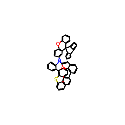 c1ccc(-c2cccc3cc(N(c4ccc5c(c4)C4(c6ccccc6O5)c5ccccc5-c5ccccc54)c4ccccc4-c4cccc5c4sc4ccccc45)oc23)cc1